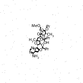 COCCOP(=O)(N[C@@H](C)C(=O)OC(C)C)OC[C@@]1(C)O[C@@H](c2ccc3c(N)ncnn23)[C@H](OC(=O)C(C)C)[C@@H]1OC(O)C(C)C